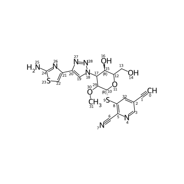 C#Cc1cnc(C#N)c(S[C@H]2OC(CO)[C@H](O)C(n3cc(-c4csc(N)n4)nn3)C2OC)c1